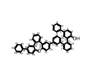 Oc1ccc(-c2ccccc2)cc1-c1ccccc1-c1cccc(-c2ccc3c(c2)-c2ccccc2-c2cc(-c4ccccc4)ccc2O3)c1